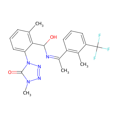 CC(=NC(O)c1c(C)cccc1-n1nnn(C)c1=O)c1cccc(C(F)(F)F)c1C